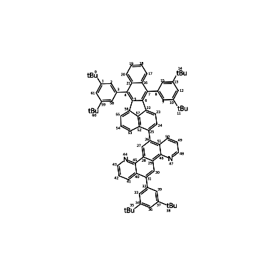 CC(C)(C)c1cc(-c2c3c(c(-c4cc(C(C)(C)C)cc(C(C)(C)C)c4)c4ccccc24)-c2ccc(-c4cc5c(cc(-c6cc(C(C)(C)C)cc(C(C)(C)C)c6)c6cccnc65)c5ncccc45)c4cccc-3c24)cc(C(C)(C)C)c1